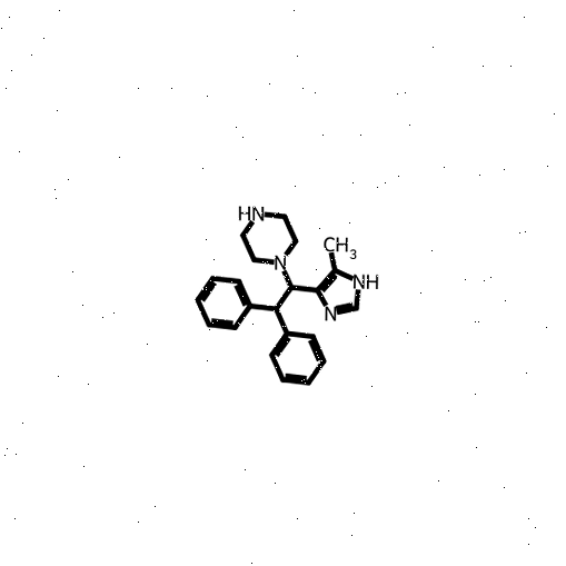 Cc1[nH]cnc1C(C(c1ccccc1)c1ccccc1)N1CCNCC1